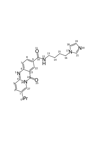 CC(C)c1ccc2nc3ccc(C(=O)NCCCCn4ccnc4)cc3c(=O)n2c1